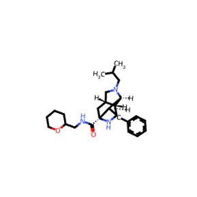 CC(C)CN1C[C@H]2C[C@]3(C(=O)NCC4CCCCO4)NC[C@H]2[C@H]1[C@H]3Cc1ccccc1